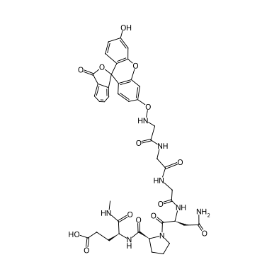 CNC(=O)[C@H](CCC(=O)O)NC(=O)[C@@H]1CCCN1C(=O)[C@H](CC(N)=O)NC(=O)CNC(=O)CNC(=O)CNOc1ccc2c(c1)Oc1cc(O)ccc1C21OC(=O)c2ccccc21